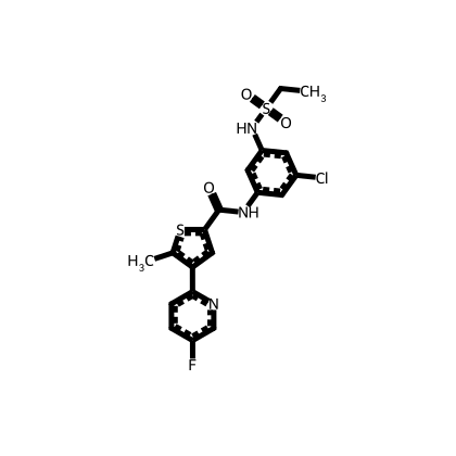 CCS(=O)(=O)Nc1cc(Cl)cc(NC(=O)c2cc(-c3ccc(F)cn3)c(C)s2)c1